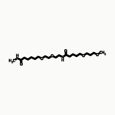 CNC(=O)CCCCCOCCOCCNC(=O)CCCCOCCCOC